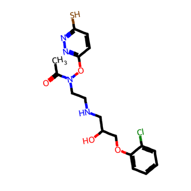 CC(=O)N(CCNCC(O)COc1ccccc1Cl)Oc1ccc(S)nn1